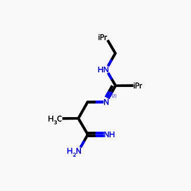 CC(C)CN/C(=N\CC(C)C(=N)N)C(C)C